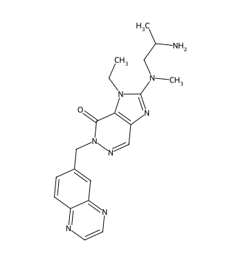 CCn1c(N(C)CC(C)N)nc2cnn(Cc3ccc4nccnc4c3)c(=O)c21